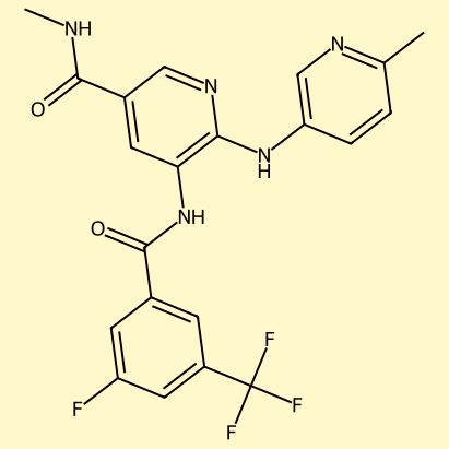 CNC(=O)c1cnc(Nc2ccc(C)nc2)c(NC(=O)c2cc(F)cc(C(F)(F)F)c2)c1